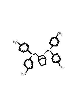 Cc1ccc(P(C[C@@H]2C3CCC(C3)[C@H]2CP(c2ccc(C)cc2)c2ccc(C)cc2)c2ccc(C)cc2)cc1